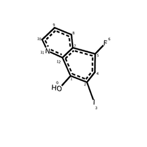 Oc1c(I)cc(F)c2cccnc12